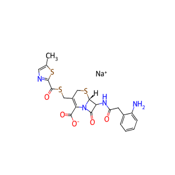 Cc1cnc(C(=O)SCC2=C(C(=O)[O-])N3C(=O)C(NC(=O)Cc4ccccc4N)[C@H]3SC2)s1.[Na+]